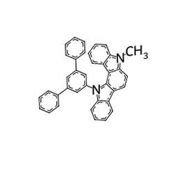 Cn1c2ccccc2c2c1ccc1c3ccccc3n(-c3cc(-c4ccccc4)cc(-c4ccccc4)c3)c12